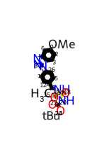 COc1ccc2c(c1)nnn2-c1ccc([C@H](C)NS(=O)(=O)NC(=O)OC(C)(C)C)cc1